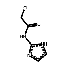 O=C(CCl)Nc1ncc[nH]1